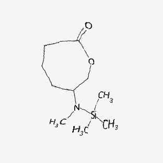 CN(C1CCCCC(=O)OC1)[Si](C)(C)C